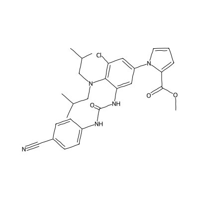 COC(=O)c1cccn1-c1cc(Cl)c(N(CC(C)C)CC(C)C)c(NC(=O)Nc2ccc(C#N)cc2)c1